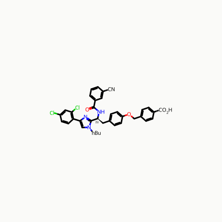 CCCCn1cc(-c2ccc(Cl)cc2Cl)nc1[C@H](Cc1ccc(OCc2ccc(C(=O)O)cc2)cc1)NC(=O)c1cccc(C#N)c1